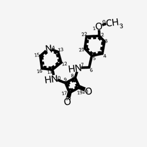 COc1ccc(CNc2c(Nc3ccncc3)c(=O)c2=O)cc1